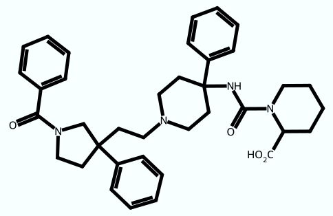 O=C(O)C1CCCCN1C(=O)NC1(c2ccccc2)CCN(CCC2(c3ccccc3)CCN(C(=O)c3ccccc3)C2)CC1